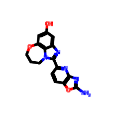 Nc1nc2nc(-c3nc4cc(O)cc5c4n3CCCO5)ccc2o1